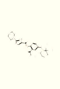 CC1(C)COCCN1Cc1ccc(NC(=O)c2csc(N3CCOCC3)n2)c(C(=O)O)c1